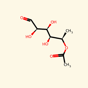 CC(=O)O[C@H](C)[C@@H](O)[C@H](O)[C@@H](O)C=O